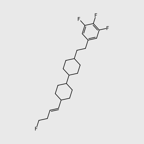 FCCC=CC1CCC(C2CCC(CCc3cc(F)c(F)c(F)c3)CC2)CC1